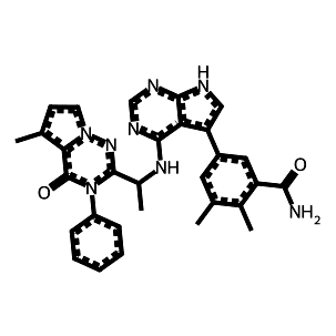 Cc1cc(-c2c[nH]c3ncnc(NC(C)c4nn5ccc(C)c5c(=O)n4-c4ccccc4)c23)cc(C(N)=O)c1C